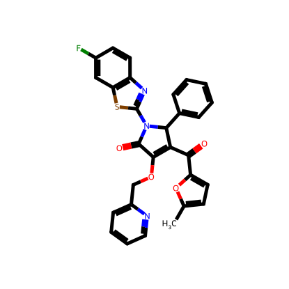 Cc1ccc(C(=O)C2=C(OCc3ccccn3)C(=O)N(c3nc4ccc(F)cc4s3)C2c2ccccc2)o1